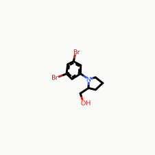 OCC1CCCN1c1cc(Br)cc(Br)c1